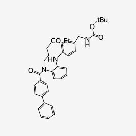 CCOC(=O)CCCN(C(=O)c1ccc(-c2ccccc2)cc1)c1ccccc1Nc1ccc(CNC(=O)OC(C)(C)C)cc1